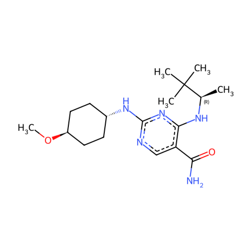 CO[C@H]1CC[C@H](Nc2ncc(C(N)=O)c(N[C@H](C)C(C)(C)C)n2)CC1